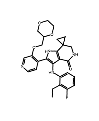 CCc1c(F)cccc1Nc1c(-c2ccncc2OCC2COCCO2)[nH]c2c1C(=O)NCC21CC1